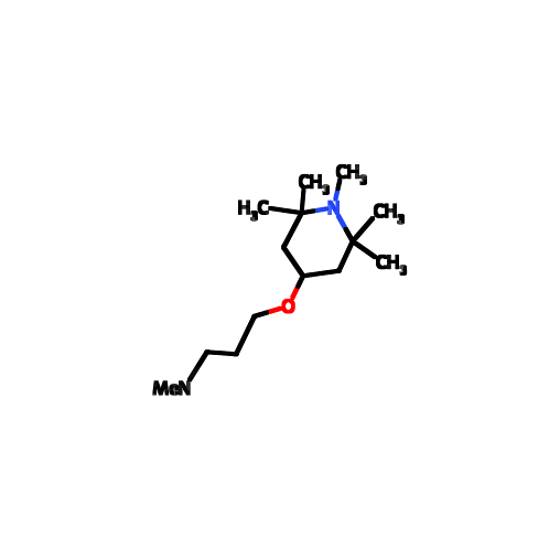 CNCCCOC1CC(C)(C)N(C)C(C)(C)C1